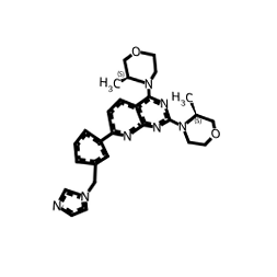 C[C@H]1COCCN1c1nc(N2CCOC[C@@H]2C)c2ccc(-c3cccc(Cn4ccnc4)c3)nc2n1